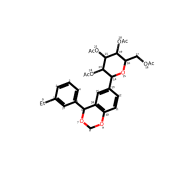 CCc1cccc(C2OCOc3ccc(C4OC(COC(C)=O)C(OC(C)=O)C(OC(C)=O)C4OC(C)=O)cc32)c1